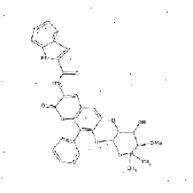 COC1C(O)C(O)C(Oc2ccc3cc(NC(=O)c4cc5ccccc5[nH]4)c(=O)oc3c2-c2ccccc2)OC1(C)C